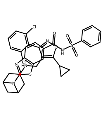 O=C(NS(=O)(=O)c1ccccc1)c1ccc2nc(N3C4CC(NCc5c(-c6c(Cl)cccc6Cl)noc5C5CC5)CC3C4)sc2c1